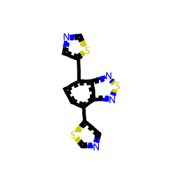 c1ncc(-c2ccc(-c3cncs3)c3nsnc23)s1